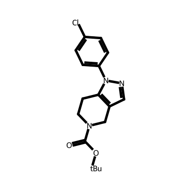 CC(C)(C)OC(=O)N1CCc2c(cnn2-c2ccc(Cl)cc2)C1